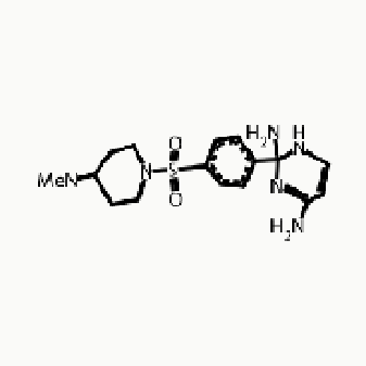 CNC1CCN(S(=O)(=O)c2ccc(C3(N)N=C(N)C=CN3)cc2)CC1